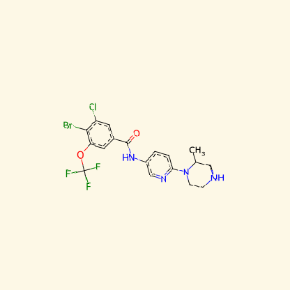 CC1CNCCN1c1ccc(NC(=O)c2cc(Cl)c(Br)c(OC(F)(F)F)c2)cn1